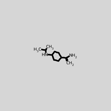 C=C(N)C1CCC(NC(C)C)CC1